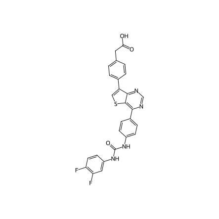 O=C(O)Cc1ccc(-c2csc3c(-c4ccc(NC(=O)Nc5ccc(F)c(F)c5)cc4)ncnc23)cc1